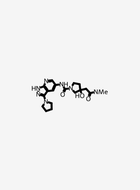 CNC(=O)CC1(O)CCN(C(=O)Nc2cnc3[nH]nc(N4CCCC4)c3c2)C1